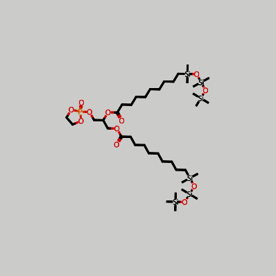 C[Si](C)(C)O[Si](C)(C)O[Si](C)(C)CCCCCCCCCC(=O)OCC(COP1(=O)OCCO1)OC(=O)CCCCCCCCC[Si](C)(C)O[Si](C)(C)O[Si](C)(C)C